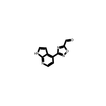 O=Cc1nc(-c2ccnc3[nH]ccc23)no1